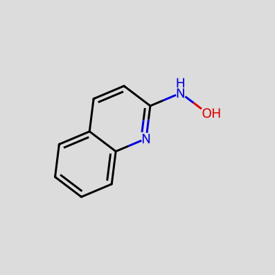 ONc1ccc2ccccc2n1